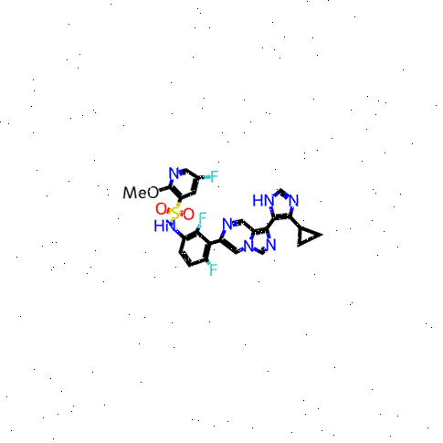 COc1ncc(F)cc1S(=O)(=O)Nc1ccc(F)c(-c2cn3cnc(-c4[nH]cnc4C4CC4)c3cn2)c1F